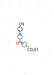 CCOC(=O)C[C]1[CH]CN(C(=O)C2CCN(c3ccc(C#N)cc3)CC2)CC1